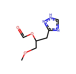 COCC(Cc1nc[nH]n1)OC=O